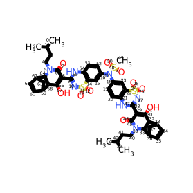 CC(C)CCN1C(=O)C(C2=NS(=O)(=O)c3cc(N(c4ccc5c(c4)S(=O)(=O)N=C(C4=C(O)C6C7C=CC(C7)C6N(CCC(C)C)C4=O)N5)S(C)(=O)=O)ccc3N2)=C(O)C2C3C=CC(C3)C21